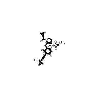 CCS(=O)(=O)NC1CCN(C(=O)C2CC2)C1Cc1cccc(C#CC2(C)CC2)c1F